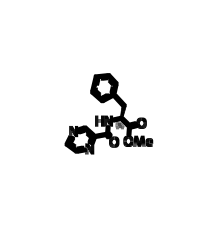 COC(=O)[C@H](Cc1ccccc1)NC(=O)c1cnccn1